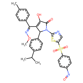 CO/N=C(\C1=C(O)C(=O)N(c2ncc(S(=O)(=O)c3ccc(N=O)cc3)s2)C1c1ccc(C(C)C)cc1)c1ccc(C)cc1